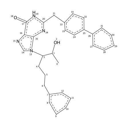 CC(O)C(CCCc1ccccc1)n1cnc2c(=O)[nH]c(Cc3ccc(-c4ccccc4)cc3)nc21